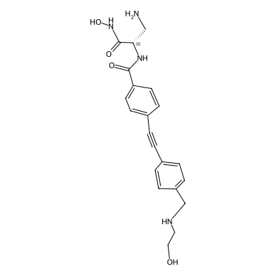 NC[C@H](NC(=O)c1ccc(C#Cc2ccc(CNCCO)cc2)cc1)C(=O)NO